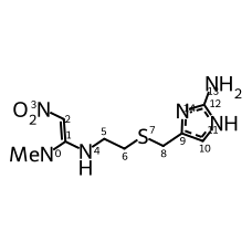 CNC(=C[N+](=O)[O-])NCCSCc1c[nH]c(N)n1